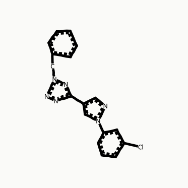 Clc1cccc(-n2cc(-c3nnn(Cc4ccccc4)n3)cn2)c1